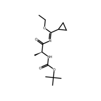 CCO/C(=N\C(=O)[C@H](C)NC(=O)OC(C)(C)C)C1CC1